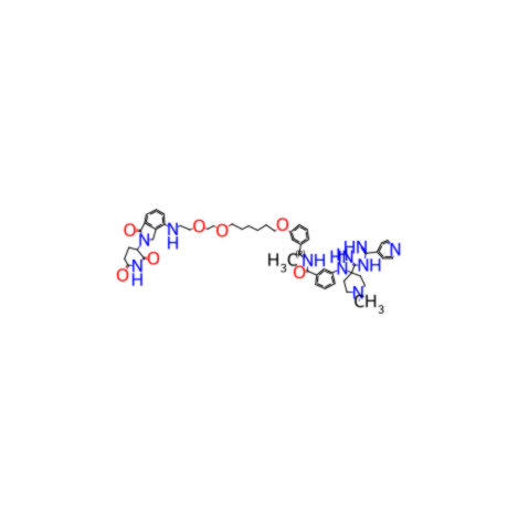 C[C@@H](NC(=O)c1cccc(NC2(C(=N)NC(=N)c3ccncc3)CCN(C)CC2)c1)c1cccc(OCCCCCCOCCOCCNc2cccc3c2CN(C2CCC(=O)NC2=O)C3=O)c1